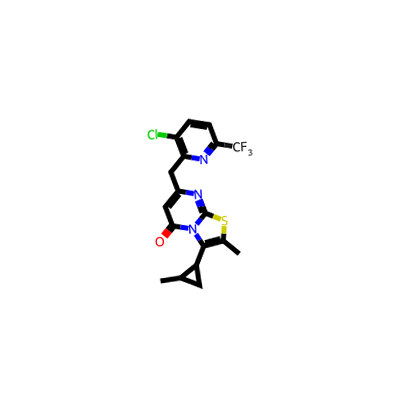 Cc1sc2nc(Cc3nc(C(F)(F)F)ccc3Cl)cc(=O)n2c1C1CC1C